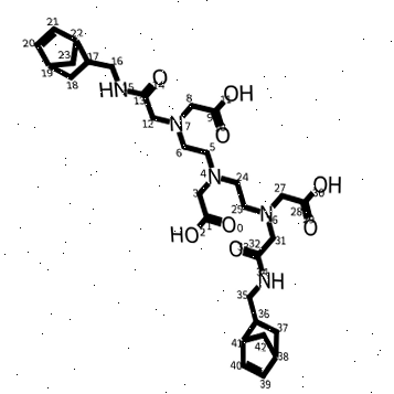 O=C(O)CN(CCN(CC(=O)O)CC(=O)NCC1CC2C=CC1C2)CCN(CC(=O)O)CC(=O)NCC1CC2C=CC1C2